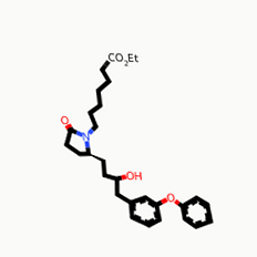 CCOC(=O)CCCCCCN1C(=O)CC[C@@H]1CCC(O)Cc1cccc(Oc2ccccc2)c1